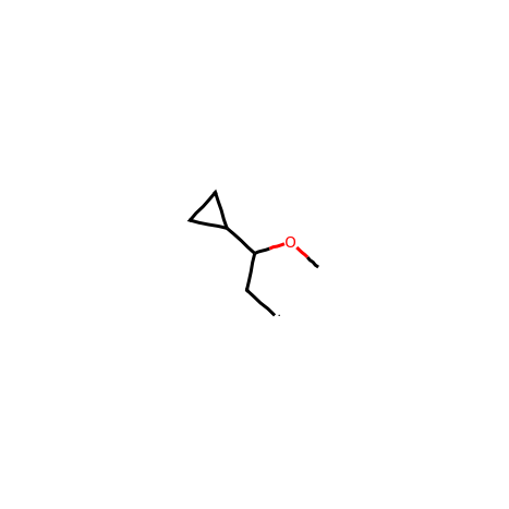 [CH2]CC(OC)C1CC1